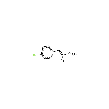 CC(C)/C(=C\c1ccc(F)cc1)C(=O)O